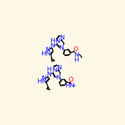 CCNC(=O)c1cccc(N2C=C(Nc3cc(C4CC4)[nH]n3)[N+]3C=CN=C3C2)c1.CNC(=O)c1cccc(N2C=C(Nc3cc(C4CC4)[nH]n3)[N+]3C=CN=C3C2)c1